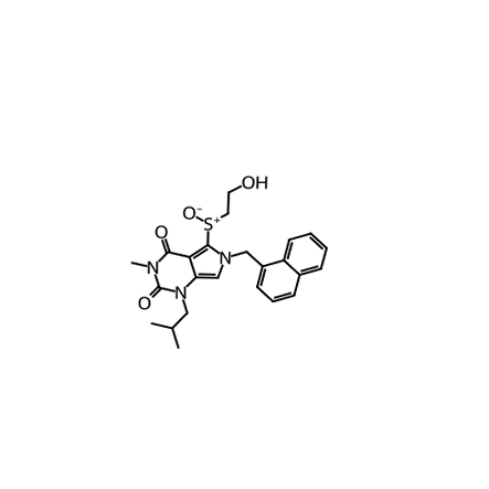 CC(C)Cn1c(=O)n(C)c(=O)c2c([S+]([O-])CCO)n(Cc3cccc4ccccc34)cc21